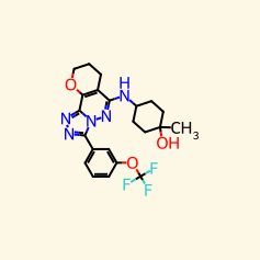 CC1(O)CCC(Nc2nn3c(-c4cccc(OC(F)(F)F)c4)nnc3c3c2CCCO3)CC1